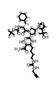 C#CCNC(=O)NCCCCC(NC(=O)[C@@H]1C[C@H](n2nncc2C(C)(C)O)CN1C(=O)[C@@H](CC1CCCCC1)NC(=O)OC(C)(C)C)C(O)C(N)=O